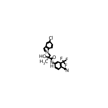 C[C@](O)(Cn1ccc2cc(Cl)ccc21)C(=O)Nc1ccc(C#N)c(C(F)(F)F)c1